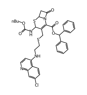 CCCCOC(=O)NC1SC2CC(=O)N2C(C(=O)OC(c2ccccc2)c2ccccc2)=C1CSCCNc1ccnc2cc(Cl)ccc12